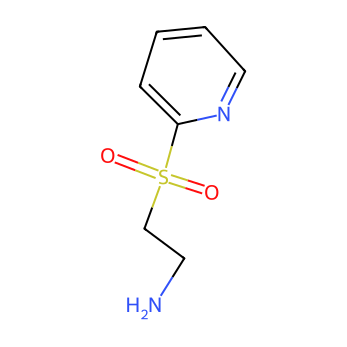 NCCS(=O)(=O)c1ccccn1